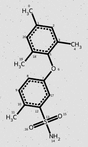 Cc1cc(C)c(Oc2ccc(C)c(S(N)(=O)=O)c2)c(C)c1